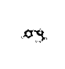 COC(=O)c1c[nH]c(Sc2ccc(C)cc2)c1